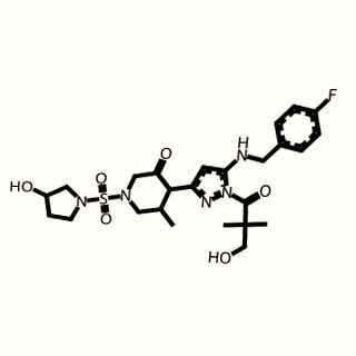 CC1CN(S(=O)(=O)N2CCC(O)C2)CC(=O)C1c1cc(NCc2ccc(F)cc2)n(C(=O)C(C)(C)CO)n1